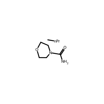 CCCC.NC(=O)N1CCOCC1